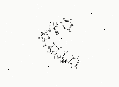 O=C(Nc1ccccc1)Nc1nc(Cc2csc(NC(=O)Nc3ccccc3)n2)cs1